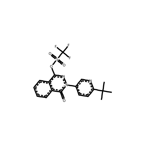 CC(C)(C)c1ccc(-n2nc(OS(=O)(=O)C(F)(F)F)c3ccccc3c2=O)cn1